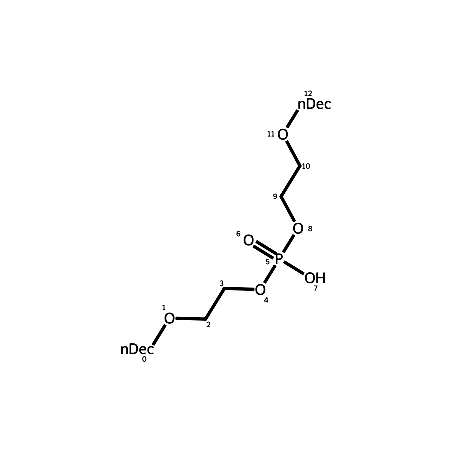 CCCCCCCCCCOCCOP(=O)(O)OCCOCCCCCCCCCC